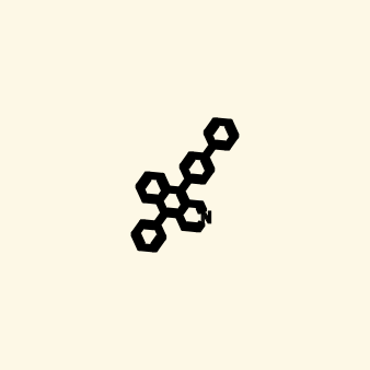 c1ccc(-c2ccc(-c3c4ccccc4c(-c4ccccc4)c4ccncc34)cc2)cc1